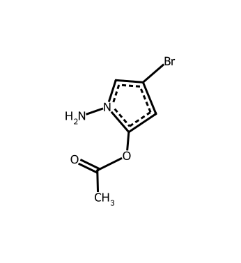 CC(=O)Oc1cc(Br)cn1N